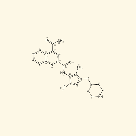 Cc1nn(CC2CCNCC2)c(C)c1NC(=O)c1cc(C(N)=O)c2ccccc2n1